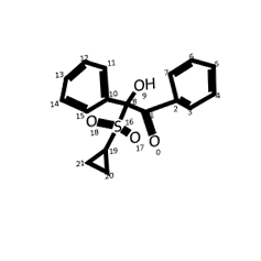 O=C(c1ccccc1)C(O)(c1ccccc1)S(=O)(=O)C1CC1